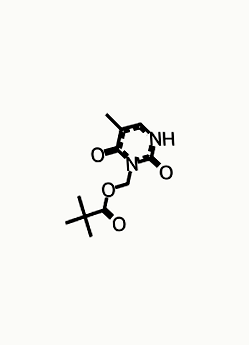 Cc1c[nH]c(=O)n(COC(=O)C(C)(C)C)c1=O